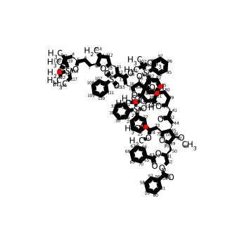 C=C=C(C)C[C@H](CC[C@@H]1O[C@@H](CC(C(=O)C[C@H]2O[C@H]3[C@@H](O[Si](c4ccccc4)(c4ccccc4)C(C)(C)C)[C@H]4O[C@@H](CC(=O)C[C@@H]5[C@@H](OC)[C@@H](C[C@@H](COC(=O)c6ccccc6)OC(=O)c6ccccc6)O[C@H]5CC(OC)OC)CC[C@@H]4O[C@H]3[C@H]2O[Si](c2ccccc2)(c2ccccc2)C(C)(C)C)S(=O)(=O)c2ccccc2)CC1=C)O[Si](CC)(CC)CC